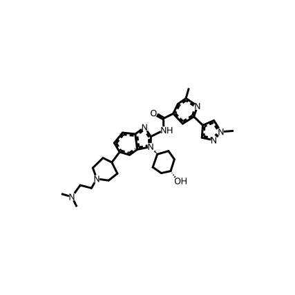 Cc1cc(C(=O)Nc2nc3ccc(C4CCN(CCN(C)C)CC4)cc3n2[C@H]2CC[C@@H](O)CC2)cc(-c2cnn(C)c2)n1